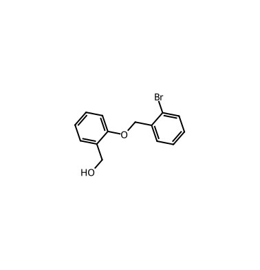 OCc1ccccc1OCc1ccccc1Br